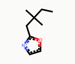 CCC(C)(C)Cc1ncco1